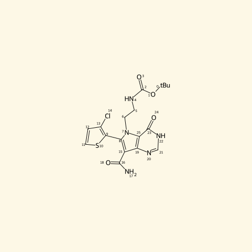 CC(C)(C)OC(=O)NCCn1c(-c2sccc2Cl)c(C(N)=O)c2nc[nH]c(=O)c21